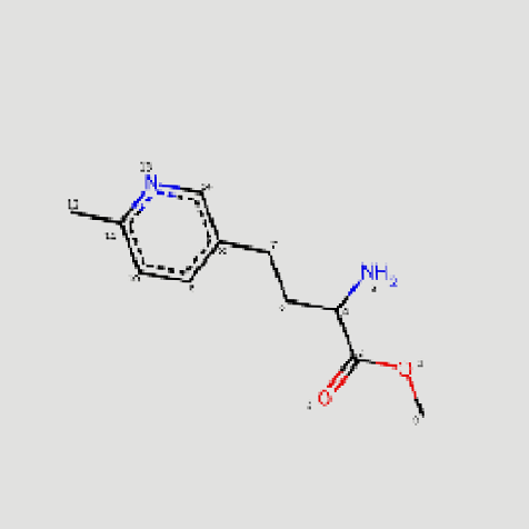 COC(=O)C(N)CCc1ccc(C)nc1